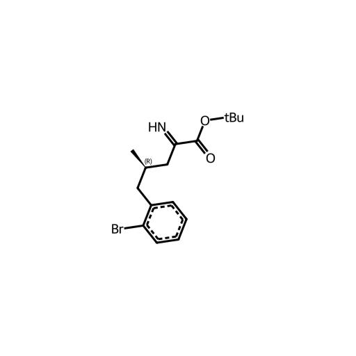 C[C@@H](CC(=N)C(=O)OC(C)(C)C)Cc1ccccc1Br